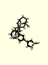 Cn1cc(-c2cc3c(N4CC5CC[C@H](C4)N5C4CC(O)C4)ccnn3c2)cn1